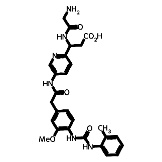 COc1cc(CC(=O)Nc2ccc(C(CC(=O)O)NC(=O)CN)nc2)ccc1NC(=O)Nc1ccccc1C